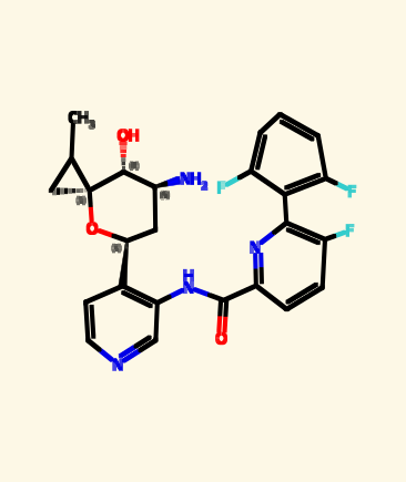 CC1C[C@]12O[C@H](c1ccncc1NC(=O)c1ccc(F)c(-c3c(F)cccc3F)n1)C[C@H](N)[C@H]2O